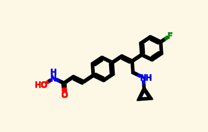 O=C(C=Cc1ccc(C=C(CNC2CC2)c2ccc(F)cc2)cc1)NO